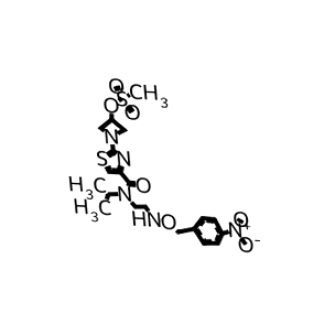 CC(C)N(CCNOCc1ccc([N+](=O)[O-])cc1)C(=O)c1csc(N2CC(OS(C)(=O)=O)C2)n1